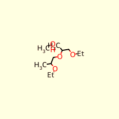 CCOCC(C)OCC(C)OCC.CO